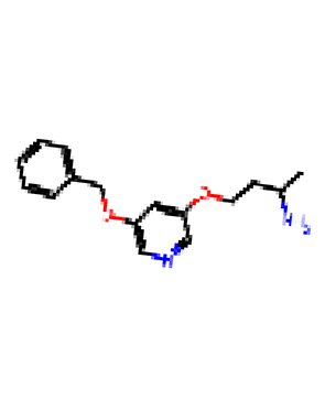 CC(N)CCOc1cncc(OCc2ccccc2)c1